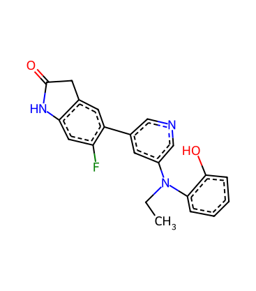 CCN(c1cncc(-c2cc3c(cc2F)NC(=O)C3)c1)c1ccccc1O